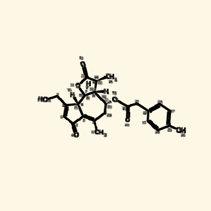 CC1=C2C(=O)C=C(CO)[C@@H]2[C@H]2OC(=O)[C@@H](C)[C@@H]2[C@H](OC(=O)Cc2ccc(O)cc2)C1